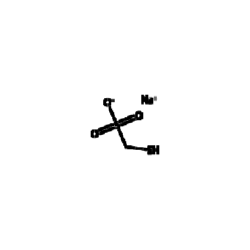 O=S(=O)([O-])CS.[Na+]